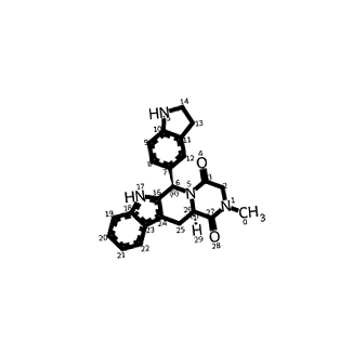 CN1CC(=O)N2[C@H](c3ccc4c(c3)CCN4)c3[nH]c4ccccc4c3C[C@@H]2C1=O